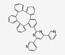 c1cncc(-c2cc(-c3cccnc3)nc(-c3ccc4c5ccccc5c5ccccc5c5ccccc5c5ccccc5c4c3)n2)c1